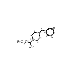 CCOC(=O)C(C(C)=O)N1CCN(Cc2ccccc2)CC1